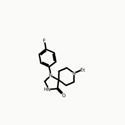 CCN1CCC2(CC1)C(=O)NCN2c1ccc(F)cc1